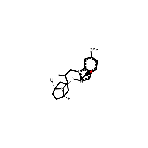 C#CCO[C@@H]1C[C@H]2CC[C@@H](C1)N2C[C@@H](C)Cn1ncc2ccc(OC)cc21